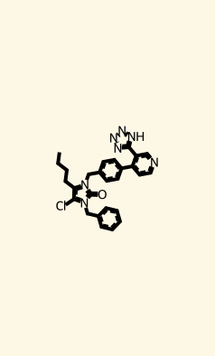 CCCCc1c(Cl)n(Cc2ccccc2)c(=O)n1Cc1ccc(-c2ccncc2-c2nnn[nH]2)cc1